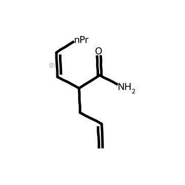 C=CCC(/C=C\CCC)C(N)=O